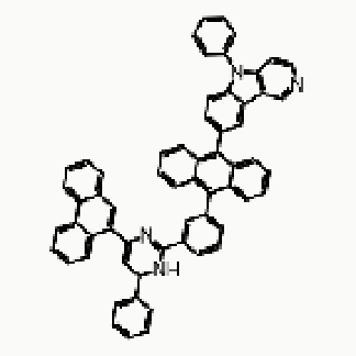 C1=C(c2cc3ccccc3c3ccccc23)N=C(c2cccc(-c3c4ccccc4c(-c4ccc5c(c4)c4cnccc4n5-c4ccccc4)c4ccccc34)c2)NC1c1ccccc1